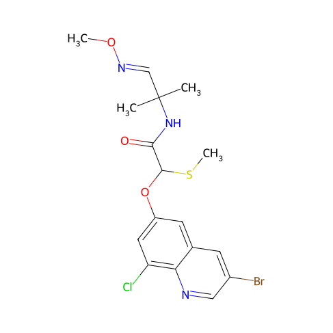 CO/N=C/C(C)(C)NC(=O)C(Oc1cc(Cl)c2ncc(Br)cc2c1)SC